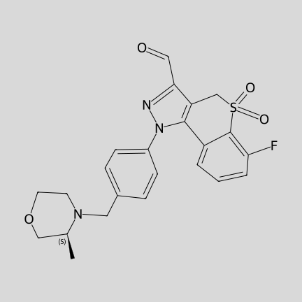 C[C@H]1COCCN1Cc1ccc(-n2nc(C=O)c3c2-c2cccc(F)c2S(=O)(=O)C3)cc1